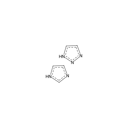 c1c[nH]cn1.c1c[nH]nn1